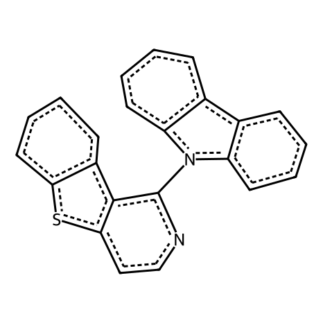 c1ccc2c(c1)sc1ccnc(-n3c4ccccc4c4ccccc43)c12